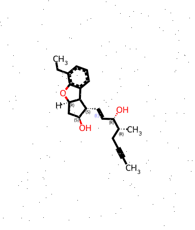 CC#CC[C@@H](C)[C@@H](O)/C=C/[C@H]1C2c3cccc(CC)c3O[C@@H]2C[C@@H]1O